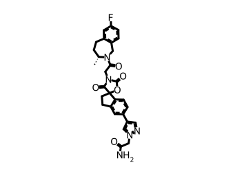 C[C@@H]1CCc2cc(F)ccc2CN1C(=O)CN1C(=O)OC2(CCc3cc(-c4cnn(CC(N)=O)c4)ccc32)C1=O